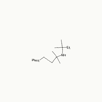 CCCC(C)CCC(C)(C)NC(C)(C)CC